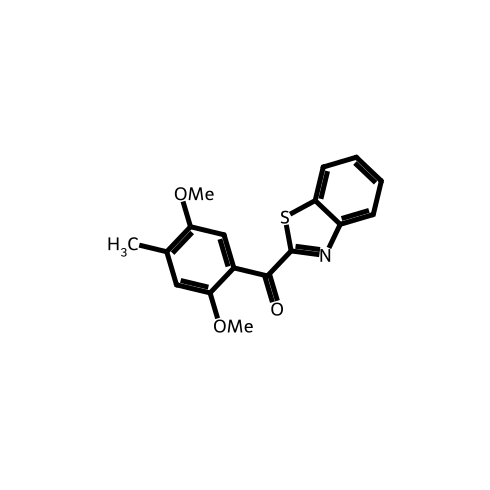 COc1cc(C(=O)c2nc3ccccc3s2)c(OC)cc1C